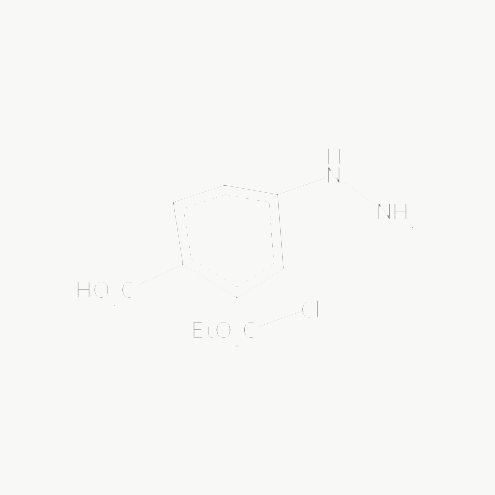 CCOC(=O)Cl.NNc1ccc(C(=O)O)cc1